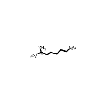 CNCCCCC[C@H](N)C(=O)O